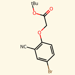 CC(C)(C)OC(=O)COc1ccc(Br)cc1C#N